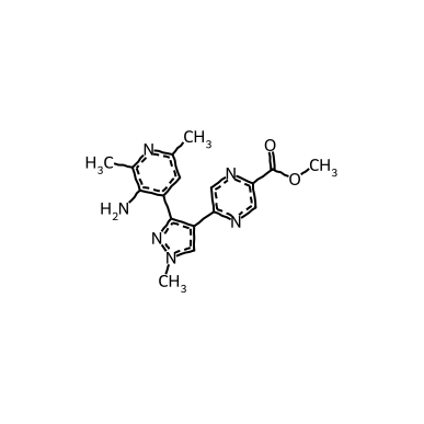 COC(=O)c1cnc(-c2cn(C)nc2-c2cc(C)nc(C)c2N)cn1